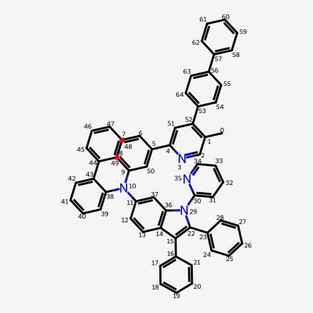 Cc1cnc(-c2cccc(N(c3ccc4c(-c5ccccc5)c(-c5ccccc5)n(-c5ccccn5)c4c3)c3ccccc3-c3ccccc3)c2)cc1-c1ccc(-c2ccccc2)cc1